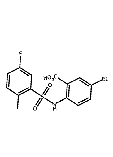 CCc1ccc(NS(=O)(=O)c2cc(F)ccc2C)c(C(=O)O)c1